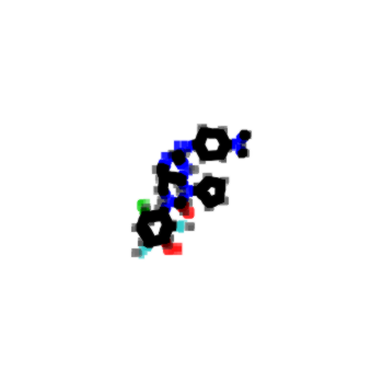 CN(C)C1CCC(Nc2ncc3c(n2)N(C2CCCC2)C(=O)N(c2c(Cl)cc(F)c(O)c2F)C3)CC1